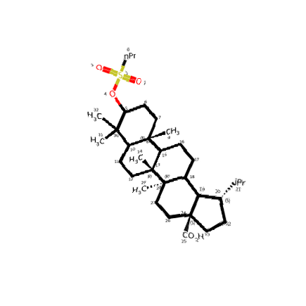 CCCS(=O)(=O)OC1CC[C@@]2(C)C(CC[C@]3(C)C2CCC2C4[C@H](C(C)C)CC[C@]4(C(=O)O)CC[C@]23C)C1(C)C